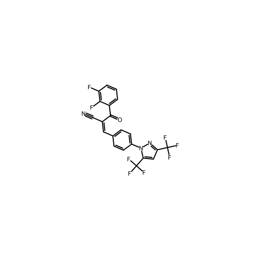 N#CC(=Cc1ccc(-n2nc(C(F)(F)F)cc2C(F)(F)F)cc1)C(=O)c1cccc(F)c1F